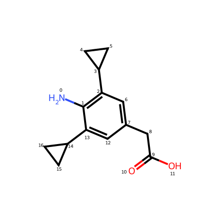 Nc1c(C2CC2)cc(CC(=O)O)cc1C1CC1